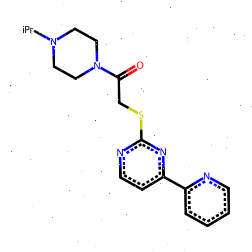 CC(C)N1CCN(C(=O)CSc2nccc(-c3ccccn3)n2)CC1